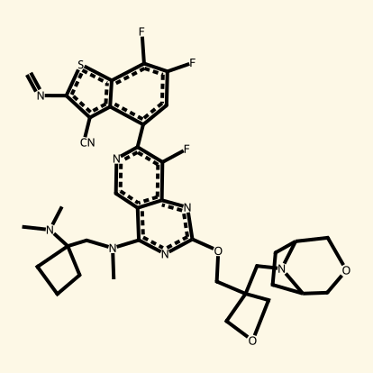 C=Nc1sc2c(F)c(F)cc(-c3ncc4c(N(C)CC5(N(C)C)CCC5)nc(OCC5(CN6C7CCC6COC7)COC5)nc4c3F)c2c1C#N